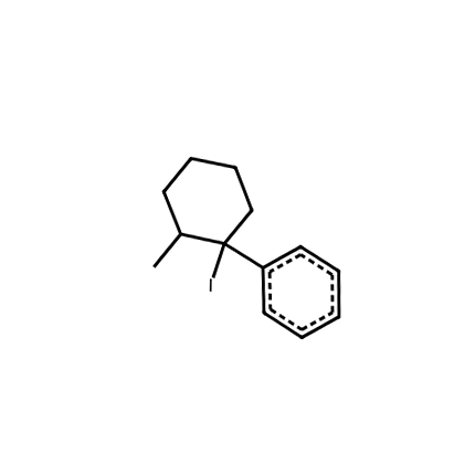 CC1CCCCC1(I)c1ccccc1